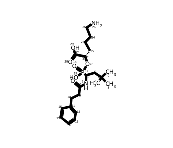 CC(C)(C)CC(NC(=O)CCc1ccccc1)P(=O)(O)O[C@@H](CCCCN)C(=O)O